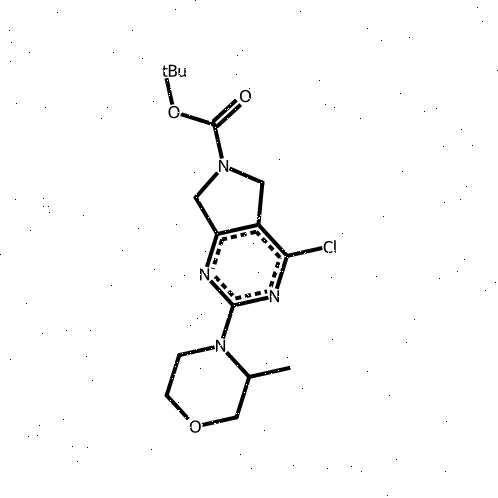 CC1COCCN1c1nc(Cl)c2c(n1)CN(C(=O)OC(C)(C)C)C2